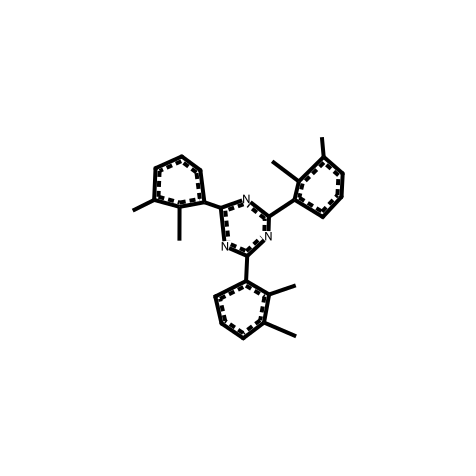 Cc1cccc(-c2nc(-c3cccc(C)c3C)nc(-c3cccc(C)c3C)n2)c1C